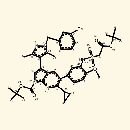 COc1ccc(-c2cc3c(-c4c(C)nn(Cc5cccc(F)c5)c4C)cn(C(=O)OC(C)(C)C)c3nc2C2CC2)cc1NS(=O)(=O)CC(=O)OC(C)(C)C